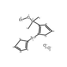 CCO[Si](C)(C)C1=[C]([Zr+2][C]2=CC=CC2)CC=C1.[Cl-].[Cl-]